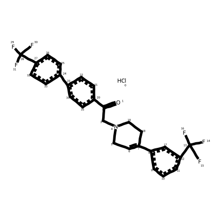 Cl.O=C(CN1CC=C(c2cccc(C(F)(F)F)c2)CC1)c1ccc(-c2ccc(C(F)(F)F)cc2)cc1